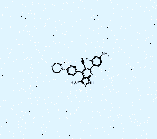 Cc1n[nH]c2nc(-c3ccc(N)cc3F)c(C#N)c(-c3ccc(N4CCNCC4)cc3)c12